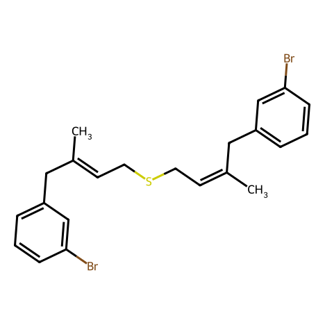 CC(=CCSCC=C(C)Cc1cccc(Br)c1)Cc1cccc(Br)c1